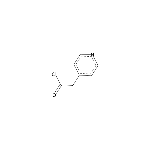 O=C(Cl)Cc1ccncc1